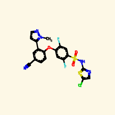 Cn1nccc1-c1cc(C#N)ccc1Oc1cc(F)c(S(=O)(=O)Nc2ncc(Cl)s2)cc1F